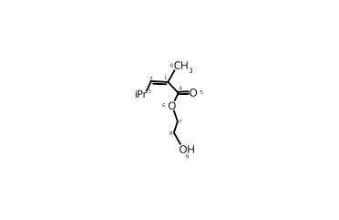 CC(=CC(C)C)C(=O)OCCO